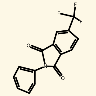 O=C1c2ccc(C(F)(F)F)cc2C(=O)N1c1ccccc1